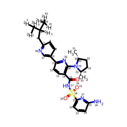 [2H]C([2H])([2H])C([2H])(Cc1ccc(-c2ccc(C(=O)NS(=O)(=O)c3cccc(N)n3)c(N3[C@H](C)CC[C@@H]3C)n2)cn1)C([2H])([2H])[2H]